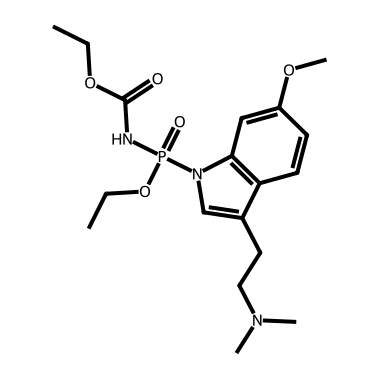 CCOC(=O)NP(=O)(OCC)n1cc(CCN(C)C)c2ccc(OC)cc21